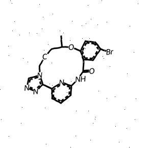 CC1CCCn2cnnc2-c2cccc(n2)NC(=O)c2cc(Br)ccc2O1